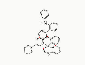 C1=CC(c2ccc3c(c2)C2(c4ccccc4Sc4ccccc42)c2cccc(-c4cccc(Nc5ccccc5)c4-c4ccccc4)c2S3)=CCC1